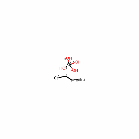 CCCCC[CH2][Cs].O[Si](O)(O)O